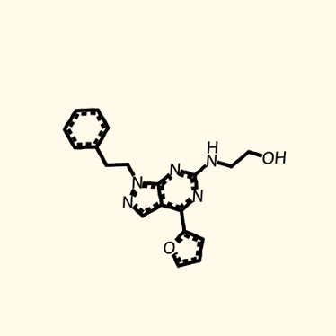 OCCNc1nc(-c2ccco2)c2cnn(CCc3ccccc3)c2n1